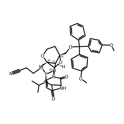 COc1ccc(C(OC[C@@]23CCO[C@@H]([C@H](n4ccc(=O)[nH]c4=O)O2)[C@@H]3OP(OCCC#N)N(C(C)C)C(C)C)(c2ccccc2)c2ccc(OC)cc2)cc1